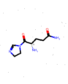 NC(=O)CC[C@H](N)C(=O)N1C=NCC1